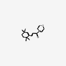 CC1(C)C=C(/C=C/C(=O)N2CCOCC2)C(C)(C)CC1